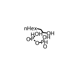 CCCCCCCCO.O=[PH](O)O[PH](=O)O